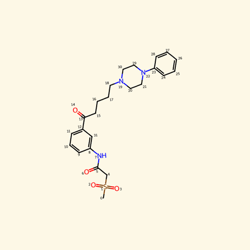 CS(=O)(=O)CC(=O)Nc1cccc(C(=O)CCCCN2CCN(c3ccccc3)CC2)c1